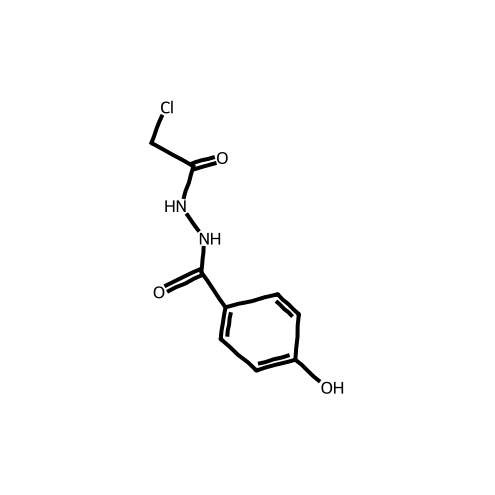 O=C(CCl)NNC(=O)c1ccc(O)cc1